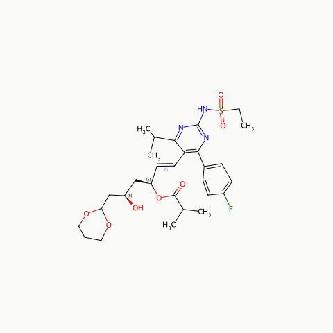 CCS(=O)(=O)Nc1nc(-c2ccc(F)cc2)c(/C=C/[C@H](C[C@@H](O)CC2OCCCO2)OC(=O)C(C)C)c(C(C)C)n1